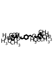 CN1C(C)(C)CC(C(=O)OCCC2CCC(CCOC(=O)C3CC(C)(C)NC3(C)C)CC2)C1(C)C